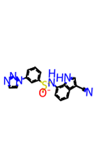 N#Cc1c[nH]c2c(N[S+]([O-])c3cccc(-n4ccnn4)c3)cccc12